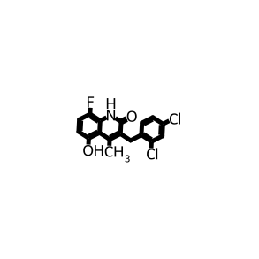 Cc1c(Cc2ccc(Cl)cc2Cl)c(=O)[nH]c2c(F)ccc(O)c12